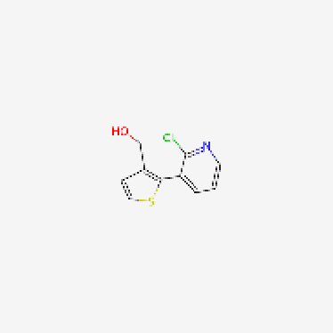 OCc1ccsc1-c1cccnc1Cl